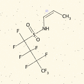 C/C=C\NS(=O)(=O)C(F)(F)C(F)(F)C(F)(F)C(F)(F)F